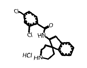 Cl.O=C(NC1Cc2ccccc2C12CCNCC2)c1ccc(Cl)cc1Cl